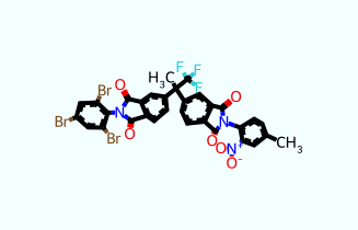 Cc1ccc(N2C(=O)c3ccc(C(C)(c4ccc5c(c4)C(=O)N(c4c(Br)cc(Br)cc4Br)C5=O)C(F)(F)F)cc3C2=O)c([N+](=O)[O-])c1